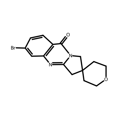 O=c1c2ccc(Br)cc2nc2n1CC1(CCOCC1)C2